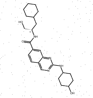 O=C(N[C@H](CO)CC1CCCCC1)c1ccc2cnc(NC3CCC(O)CC3)nc2c1